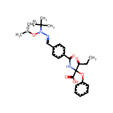 CCC(=O)C(NC(=O)c1ccc(/C=N/N(O[SiH](C)C)C(C)(C)C)cc1)(Oc1ccccc1)C(=O)O